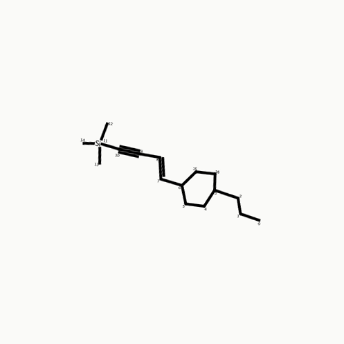 CCCC1CCC(C=CC#C[Si](C)(C)C)CC1